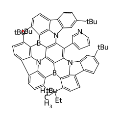 CCC(C)(C)c1ccc2c3ccc(C(C)(C)C)cc3n3c2c1B1c2c-3c(-c3cccnc3)c3c4c2-n2c5c(c(C(C)(C)C)ccc5c5ccc(C(C)(C)C)c1c52)B4c1c(C(C)(C)C)ccc2c4ccc(C(C)(C)C)cc4n-3c12